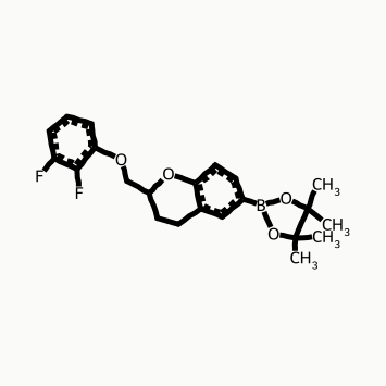 CC1(C)OB(c2ccc3c(c2)CCC(COc2cccc(F)c2F)O3)OC1(C)C